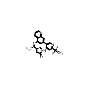 C[C@@H](Oc1cc(-c2ccc(C(C)(F)F)nc2)cc2ncccc12)[C@H]1CNC(=O)C1